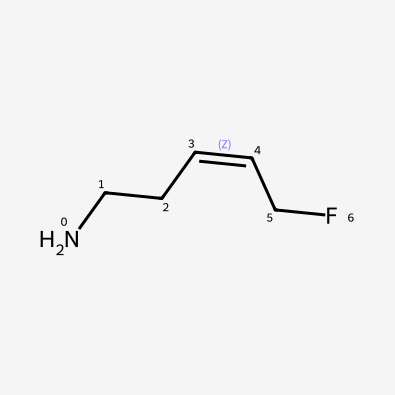 NCC/C=C\CF